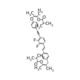 C=C(C)C(=O)OC(C)=C(C)Cc1ccc(/C=C/c2ccc(C#Cc3ccc(OC(C)=C(C)OC(=O)C(=C)C)cc3)c(F)c2F)cc1